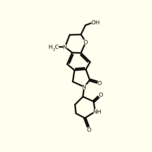 CN1CC(CO)Oc2cc3c(cc21)CN(C1CCC(=O)NC1=O)C3=O